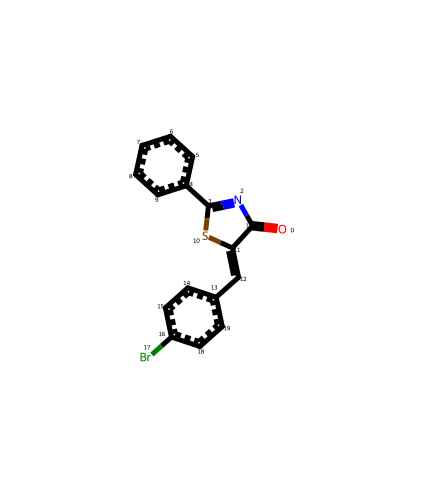 O=C1N=C(c2ccccc2)SC1=Cc1ccc(Br)cc1